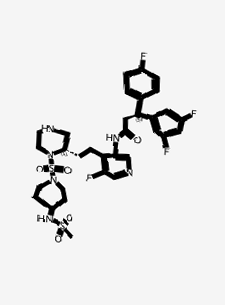 CS(=O)(=O)NC1CCN(S(=O)(=O)N2CCNC[C@@H]2CCc2c(F)cncc2NC(=O)C[C@@H](c2ccc(F)cc2)c2cc(F)cc(F)c2)CC1